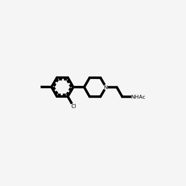 CC(=O)NCCN1CCC(c2ccc(C)cc2Cl)CC1